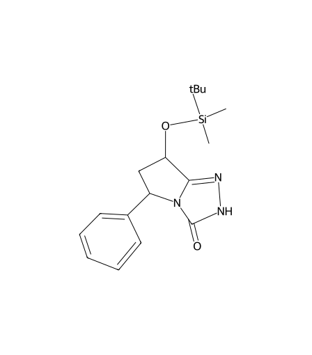 CC(C)(C)[Si](C)(C)OC1CC(c2ccccc2)n2c1n[nH]c2=O